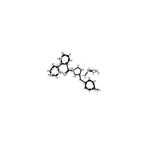 C=NC[C@@]1(Cc2ccc(F)cc2)CCN(C(=O)c2cccnc2-c2ccncn2)C1